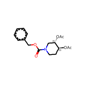 CC(=O)O[C@H]1CCN(C(=O)OCc2ccccc2)C[C@@H]1OC(C)=O